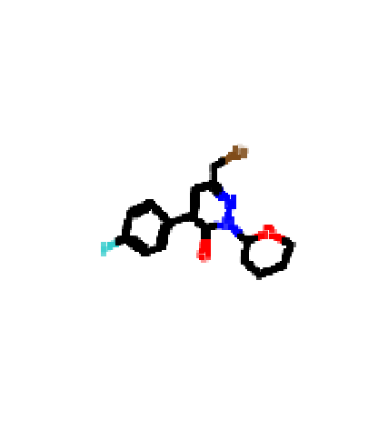 O=c1c(-c2ccc(F)cc2)cc(CBr)nn1C1CCCCO1